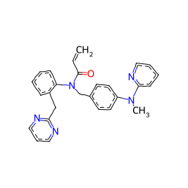 C=CC(=O)N(Cc1ccc(N(C)c2ccccn2)cc1)c1ccccc1Cc1ncccn1